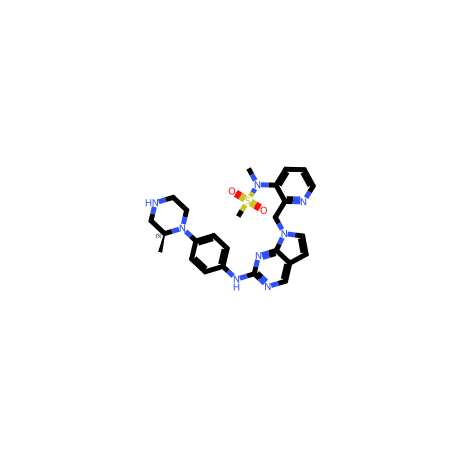 C[C@H]1CNCCN1c1ccc(Nc2ncc3ccn(Cc4ncccc4N(C)S(C)(=O)=O)c3n2)cc1